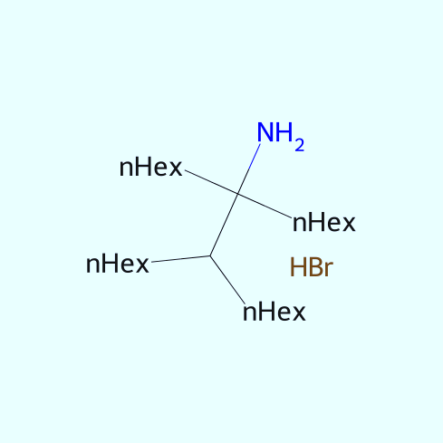 Br.CCCCCCC(CCCCCC)C(N)(CCCCCC)CCCCCC